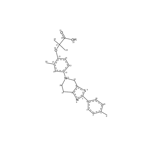 Cc1ccc(-c2nc3c(s2)CN(c2ccc(OC(C)(C)C(=O)O)c(C)c2)CC3)cc1